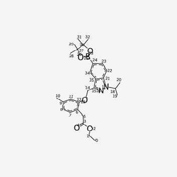 CCOC(=O)Cc1ccc(C)cc1OCc1nn(C(C)C)c2ccc(B3OC(C)(C)C(C)(C)O3)cc12